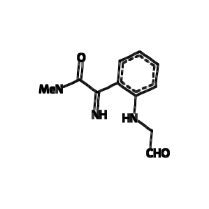 CNC(=O)C(=N)c1ccccc1NCC=O